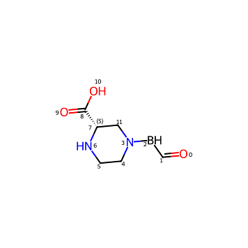 O=CBN1CCN[C@H](C(=O)O)C1